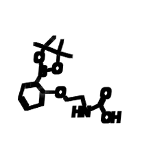 CC1(C)OB(c2ccccc2OCCNC(=O)O)OC1(C)C